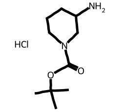 CC(C)(C)OC(=O)N1CCCC(N)C1.Cl